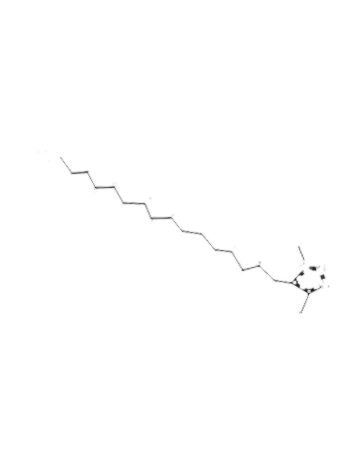 Cc1nnn(C)c1CCCCCCCCCCCCCCCC(=O)O